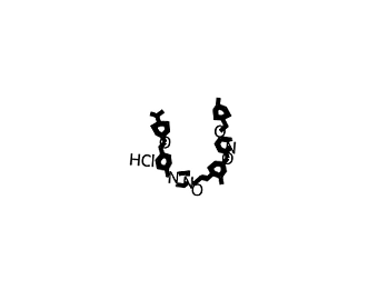 Cc1ccc(COc2ccc(Oc3ccc(C=CC(=O)N4CCN(Cc5ccc(COc6ccc(C(C)C)cc6)cc5)CC4)c(C)c3)nc2)cc1.Cl